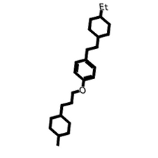 CCC1CCC(CCc2ccc(OCCCC3CCC(C)CC3)cc2)CC1